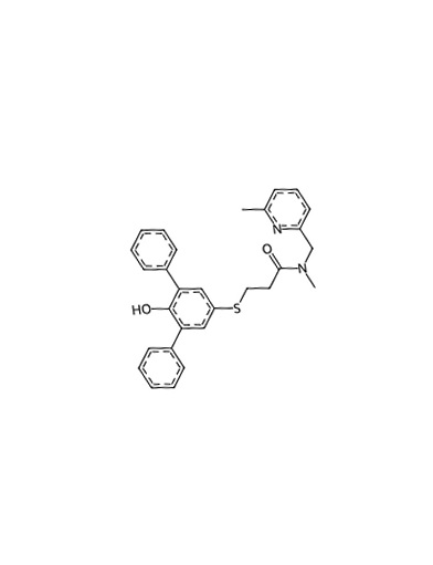 Cc1cccc(CN(C)C(=O)CCSc2cc(-c3ccccc3)c(O)c(-c3ccccc3)c2)n1